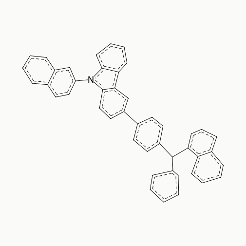 c1ccc(C(c2ccc(-c3ccc4c(c3)c3ccccc3n4-c3ccc4ccccc4c3)cc2)c2cccc3ccccc23)cc1